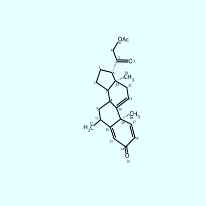 CC(=O)OCC(=O)[C@H]1CCC2C3CC(C)C4=CC(=O)C=C[C@]4(C)C3=CC[C@@]21C